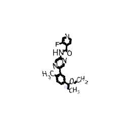 C=CO/C(=C\C)c1ccc(C)c(-c2cnc(NC(=O)c3ccncc3F)cn2)c1